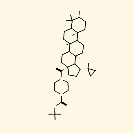 C[C@H]1CC[C@]2(C)[C@H]3CC[C@@H]4[C@H]5[C@H](C6(C)CC6)CC[C@]5(C(=O)N5CCN(C(=O)OC(C)(C)C)CC5)CC[C@@]4(C)[C@]3(C)CC[C@H]2C1(C)C